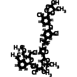 CC1(C)OC(c2ccco2)CN1C(=O)C(Cl)Cl.CCc1cccc(CC)c1N(COC)C(=O)CCl.C[C@H](OC(=O)c1cc(Oc2ccc(C(F)(F)F)cc2Cl)ccc1Cl)C(=O)O